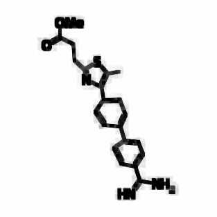 COC(=O)CCc1nc(-c2ccc(-c3ccc(C(=N)N)cc3)cc2)c(C)s1